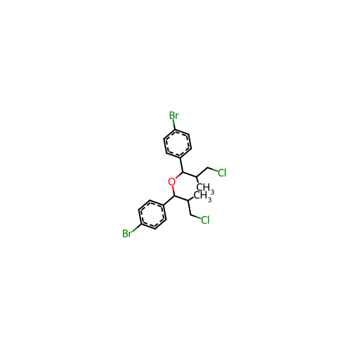 CC(CCl)C(OC(c1ccc(Br)cc1)C(C)CCl)c1ccc(Br)cc1